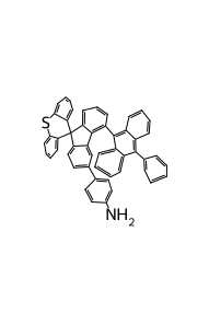 Nc1ccc(-c2ccc3c(c2)-c2c(-c4c5ccccc5c(-c5ccccc5)c5ccccc45)cccc2C32c3ccccc3Sc3ccccc32)cc1